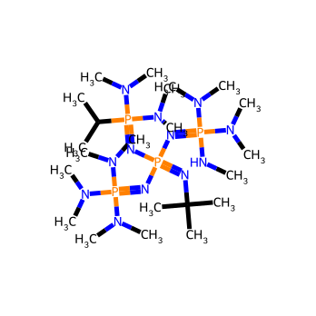 CNP(=NP(=NC(C)(C)C)(N=P(C(C)C)(N(C)C)N(C)C)N=P(N(C)C)(N(C)C)N(C)C)(N(C)C)N(C)C